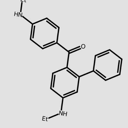 CCNc1ccc(C(=O)c2ccc(NCC)cc2-c2ccccc2)cc1